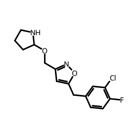 Fc1ccc(Cc2cc(COC3CCCN3)no2)cc1Cl